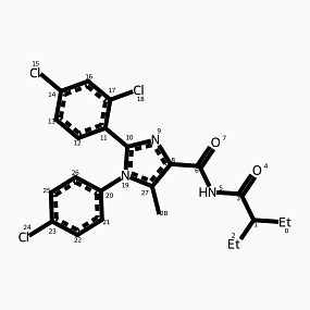 CCC(CC)C(=O)NC(=O)c1nc(-c2ccc(Cl)cc2Cl)n(-c2ccc(Cl)cc2)c1C